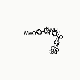 COc1ccc(-c2cnc(Nc3ccc(C(=O)N4CCN(C(=O)OC(C)(C)C)CC4)nc3)nc2)cc1